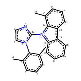 Cc1cccc(C)c1-n1ccnc1-n1c2ccccc2c2cccc(C)c21